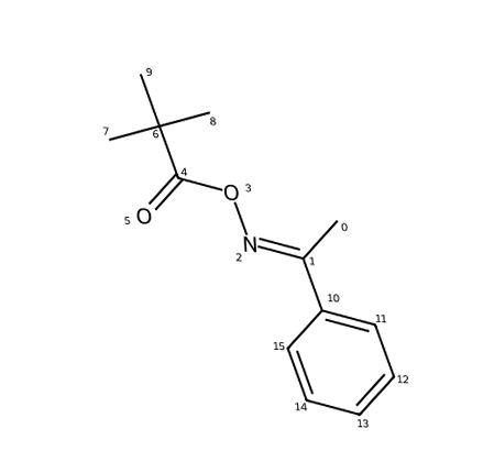 CC(=NOC(=O)C(C)(C)C)c1ccccc1